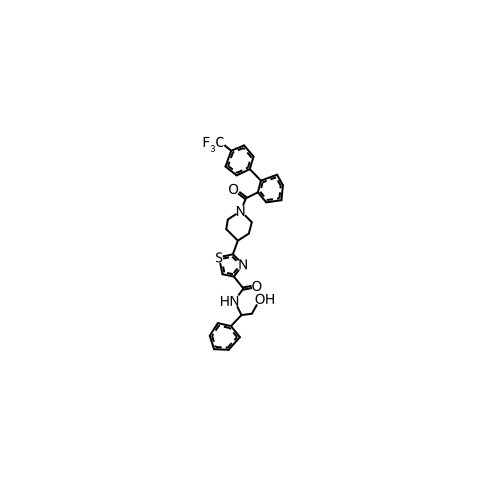 O=C(NC(CO)c1ccccc1)c1csc(C2CCN(C(=O)c3ccccc3-c3ccc(C(F)(F)F)cc3)CC2)n1